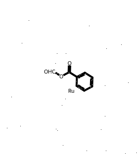 O=COC(=O)c1ccccc1.[Ru]